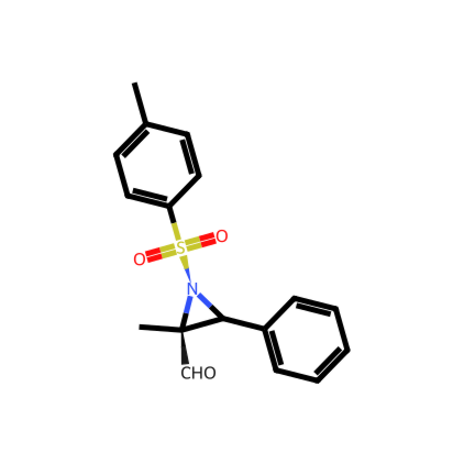 Cc1ccc(S(=O)(=O)[N@@]2C(c3ccccc3)[C@@]2(C)C=O)cc1